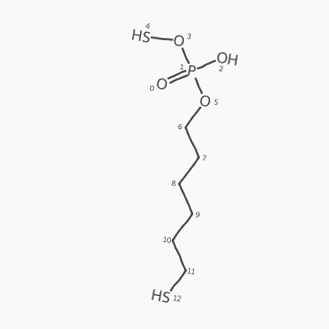 O=P(O)(OS)OCCCCCCS